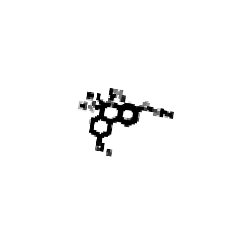 CCCCCCOc1ccc2c(c1)N(C)C(C)(C)C1CCC(C)CC21